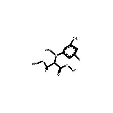 CCCCN(c1cc(C)cc(F)c1)C(C(=O)OCCC)C(=O)OCCC